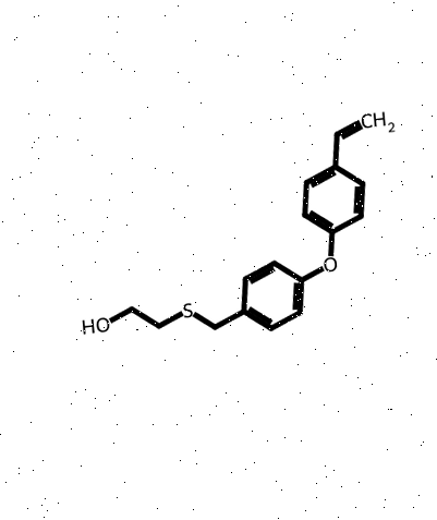 C=Cc1ccc(Oc2ccc(CSCCO)cc2)cc1